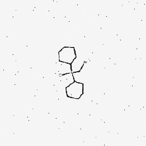 Cl[Si](CBr)(C1CCCCC1)C1CCCCC1